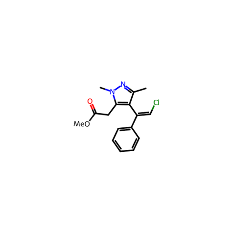 COC(=O)Cc1c(C(=CCl)c2ccccc2)c(C)nn1C